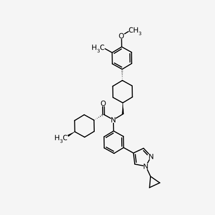 COc1ccc([C@H]2CC[C@H](CN(c3cccc(-c4cnn(C5CC5)c4)c3)C(=O)[C@H]3CC[C@H](C)CC3)CC2)cc1C